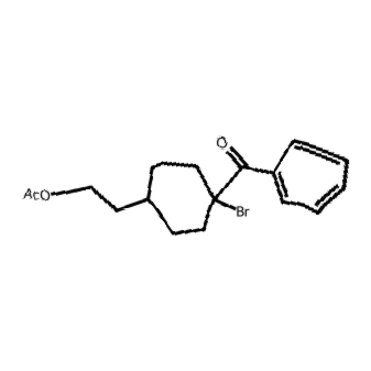 CC(=O)OCCC1CCC(Br)(C(=O)c2ccccc2)CC1